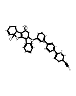 CC1CC2C(C3=C1C1CCC=CC1(C)O3)c1ccccc1N2C1=CC(c2ccc(C3=CCC(C#N)C=N3)cc2)=CCC1